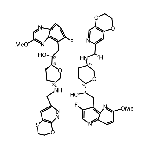 COc1cnc2ccc(F)c(C[C@H](O)[C@@H]3CC[C@@H](NCc4cc5c(nn4)OCCS5)CO3)c2n1.[2H]C(N[C@@H]1CC[C@@H](C(O)Cc2c(F)cnc3ccc(OC)nc23)OC1)c1cc2c(cn1)OCCO2